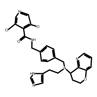 O=C(NCc1ccc(CN(CCc2cnc[nH]2)C2CCOc3cccnc32)cc1)c1c(Cl)cncc1Cl